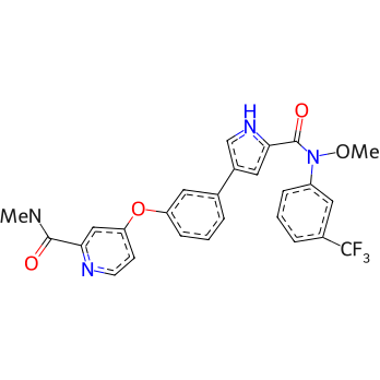 CNC(=O)c1cc(Oc2cccc(-c3c[nH]c(C(=O)N(OC)c4cccc(C(F)(F)F)c4)c3)c2)ccn1